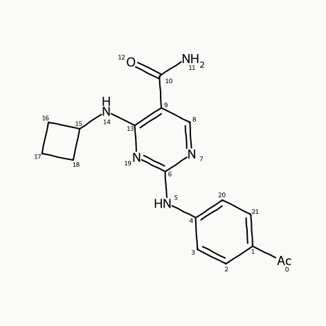 CC(=O)c1ccc(Nc2ncc(C(N)=O)c(NC3CCC3)n2)cc1